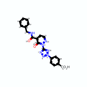 O=C(O)c1ccc(-n2nnc(-n3nccc(C(=O)NCc4ccccc4)c3=O)n2)cc1